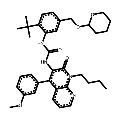 CCCCn1c(=O)c(NC(=O)Nc2cc(COC3CCCCO3)ccc2C(C)(C)C)c(-c2cccc(OC)c2)c2cccnc21